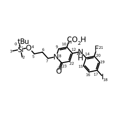 CC(C)(C)[Si](C)(C)OCCCn1cc(C(=O)O)c(Nc2ccc(I)cc2F)cc1=O